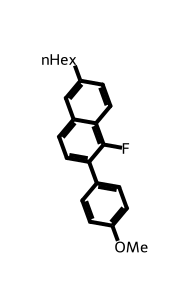 CCCCCCc1ccc2c(F)c(-c3ccc(OC)cc3)ccc2c1